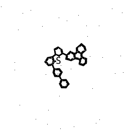 C1=CC2c3cccc(-c4ccc(-c5ccccc5)cc4)c3SC2C(c2ccc3c4ccccc4c4ccccc4c3c2)=C1